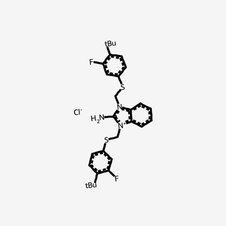 CC(C)(C)c1ccc(SCn2c(N)[n+](CSc3ccc(C(C)(C)C)c(F)c3)c3ccccc32)cc1F.[Cl-]